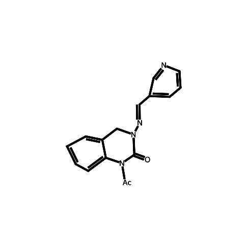 CC(=O)N1C(=O)N(N=Cc2cccnc2)Cc2ccccc21